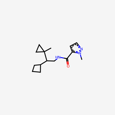 Cn1nccc1C(=O)NCC(C1CCC1)C1(C)CC1